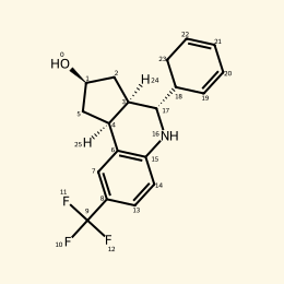 O[C@H]1C[C@@H]2[C@H](C1)c1cc(C(F)(F)F)ccc1N[C@H]2C1C=CC=CC1